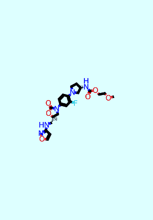 COCCOC(=O)N[C@H]1CCN(c2ccc(N3C[C@H](CNc4ccon4)OC3=O)cc2F)C1